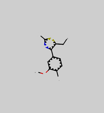 CCCOc1cc(-c2nc(C)sc2CC(C)C)ccc1C